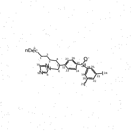 CCCCCCCCCCCCCCC(Cn1cncn1)c1ccc([S+]([O-])c2cc(I)cc(I)c2)cc1